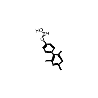 Cc1cc(C)c(-c2ccc(OBO)cc2)c(C)c1